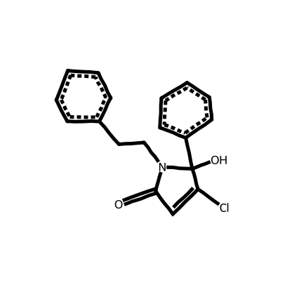 O=C1C=C(Cl)C(O)(c2ccccc2)N1CCc1ccccc1